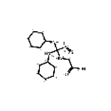 O=C(O)CNC(NC1CCCCC1)(NC1CCCCC1)[PH2]=S